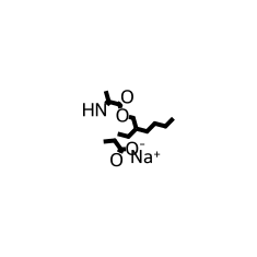 CCC(=O)[O-].CCCCC(CC)COC(=O)C(C)=N.[Na+]